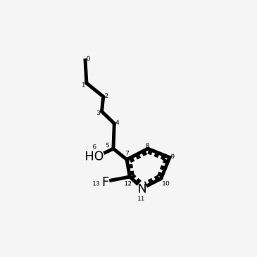 CCCCCC(O)c1cccnc1F